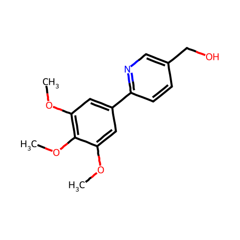 COc1cc(-c2ccc(CO)cn2)cc(OC)c1OC